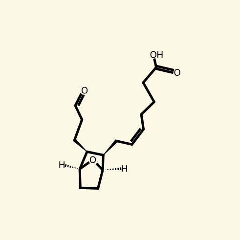 O=CCC[C@H]1[C@@H](C/C=C\CCCC(=O)O)[C@H]2CC[C@@H]1O2